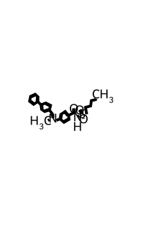 CCCCCCS(=O)(=O)NC(=O)c1ccc(CN(C)Cc2ccc(-c3ccccc3)cc2)cc1